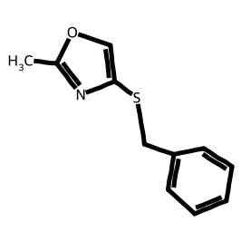 Cc1nc(SCc2ccccc2)co1